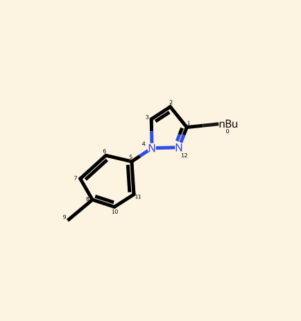 CCCCc1ccn(-c2ccc(C)cc2)n1